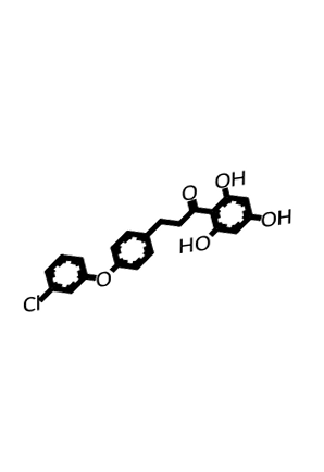 O=C(CCc1ccc(Oc2cccc(Cl)c2)cc1)c1c(O)cc(O)cc1O